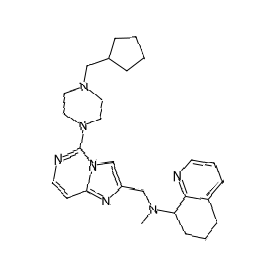 CN(Cc1cn2c(N3CCN(CC4CCCC4)CC3)nccc2n1)C1CCCc2cccnc21